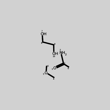 CC(N)=O.COC.OCCO